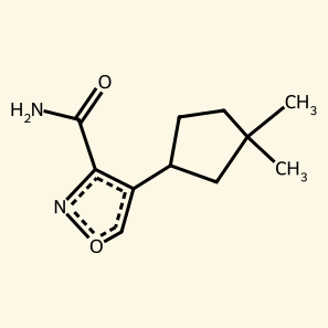 CC1(C)CCC(c2conc2C(N)=O)C1